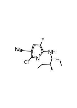 CC[C@H](C)[C@@H](CC)Nc1nc(Cl)c(C#N)cc1F